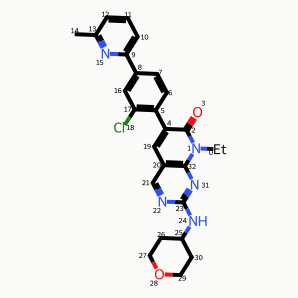 CCn1c(=O)c(-c2ccc(-c3cccc(C)n3)cc2Cl)cc2cnc(NC3CCOCC3)nc21